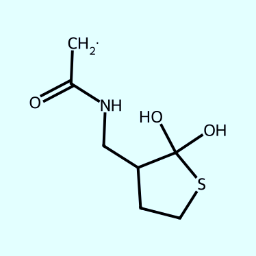 [CH2]C(=O)NCC1CCSC1(O)O